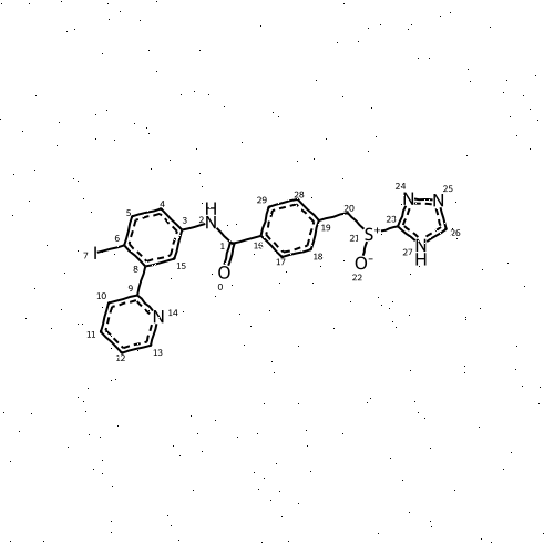 O=C(Nc1ccc(I)c(-c2ccccn2)c1)c1ccc(C[S+]([O-])c2nnc[nH]2)cc1